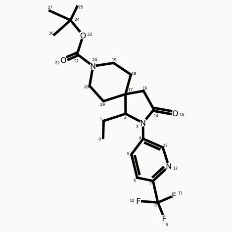 CCC1N(c2ccc(C(F)(F)F)nc2)C(=O)CC12CCN(C(=O)OC(C)(C)C)CC2